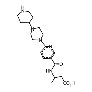 CC(CC(=O)O)NC(=O)c1ccc(N2CCN(C3CCNCC3)CC2)nc1